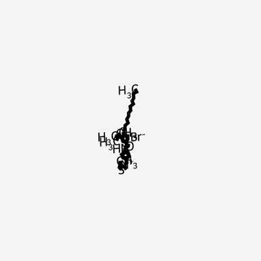 CCCCCCCCCCCCCCOc1ccc(C(=O)Nc2ccc(C[n+]3cscc3C)cc2)cc1C(C)(C)C.[Br-]